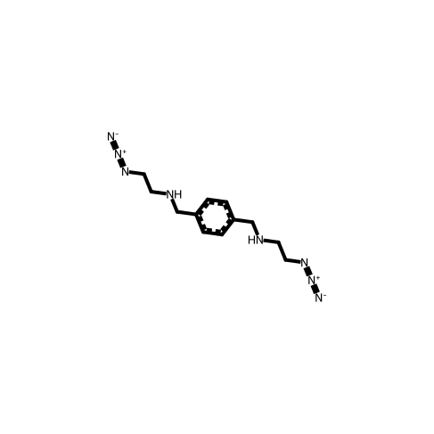 [N-]=[N+]=NCCNCc1ccc(CNCCN=[N+]=[N-])cc1